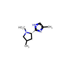 Cc1c[nH]c([C@@H]2CC(C)CN2C(=O)O)n1